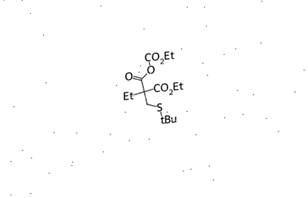 CCOC(=O)OC(=O)C(CC)(CSC(C)(C)C)C(=O)OCC